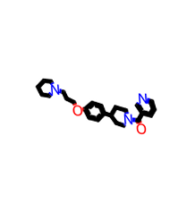 O=C(c1cccnc1)N1CCC(c2ccc(OCCCN3CCCCC3)cc2)CC1